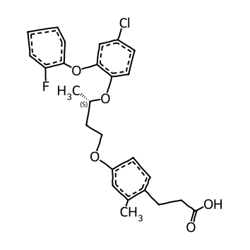 Cc1cc(OCC[C@H](C)Oc2ccc(Cl)cc2Oc2ccccc2F)ccc1CCC(=O)O